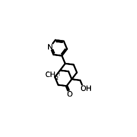 O=C1CCC2CC1(CO)CCC2c1cccnc1.[CH2]